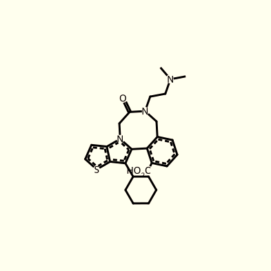 CN(C)CCN1Cc2cccc(C(=O)O)c2-c2c(C3CCCCC3)c3sccc3n2CC1=O